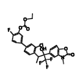 CCOC(=O)Oc1cc(-c2ccc(C(C)C(O)(c3ccc4oc(=O)n(C)c4c3)C(F)(F)F)c(Cl)c2)ccc1F